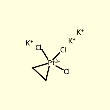 [Cl][Pt-3]1([Cl])([Cl])[CH2][CH2]1.[K+].[K+].[K+]